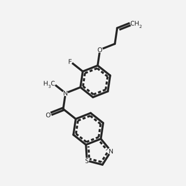 C=CCOc1cccc(N(C)C(=O)c2ccc3ncsc3c2)c1F